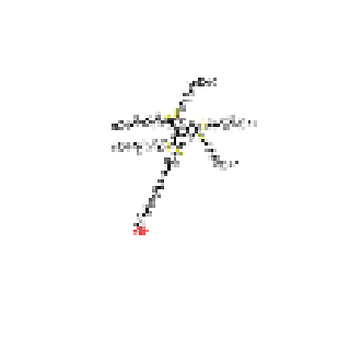 CCCCCCCCCCCCCCCCSc1cc2c3cc(SCCCCCCCCCCCCCCCC)c(SCCCCCCCCCCCCCCCC)cc3c3cc(SCCCCCCCCCCCCCCCCCO)c(SCCCCCCCCCCCCCCCC)cc3c2cc1SCCCCCCCCCCCCCCCC